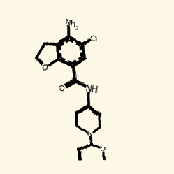 CCC(OC)N1CCC(NC(=O)c2cc(Cl)c(N)c3c2OCC3)CC1